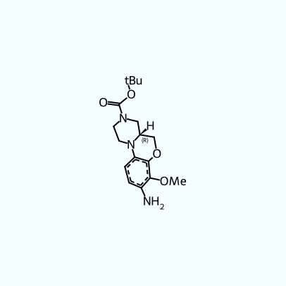 COc1c(N)ccc2c1OC[C@H]1CN(C(=O)OC(C)(C)C)CCN21